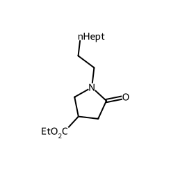 CCCCCCCCCN1CC(C(=O)OCC)CC1=O